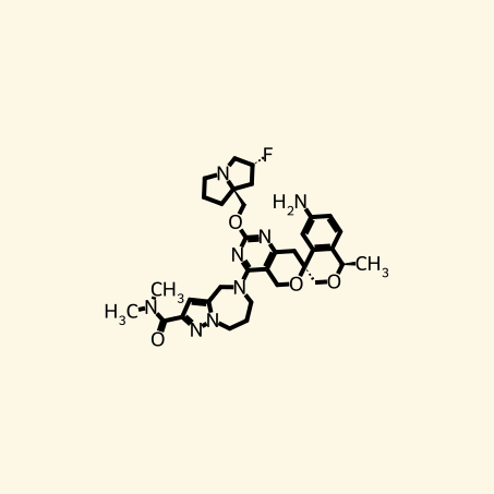 C[C@H]1OC[C@]2(Cc3nc(OC[C@@]45CCCN4C[C@H](F)C5)nc(N4CCCn5nc(C(=O)N(C)C)cc5C4)c3CO2)c2cc(N)ccc21